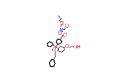 CCCOCN(C=O)OC(=O)c1ccc(C(OCCCc2ccccc2)(C2=CC=CC(OCCO)C2)c2ccccc2)cc1